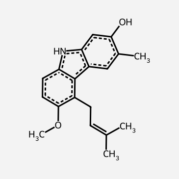 COc1ccc2[nH]c3cc(O)c(C)cc3c2c1CC=C(C)C